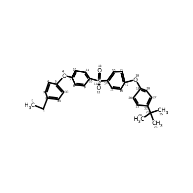 CCc1ccc(Oc2ccc(S(=O)(=O)c3ccc(Oc4ccc(C(C)(C)C)cc4)cc3)cc2)cc1